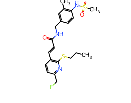 CCCSc1nc(CF)ccc1/C=C/C(=O)NCc1ccc(NS(C)(=O)=O)c(C)c1